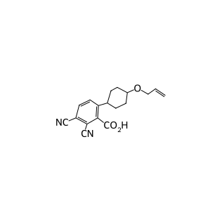 C=CCOC1CCC(c2ccc(C#N)c(C#N)c2C(=O)O)CC1